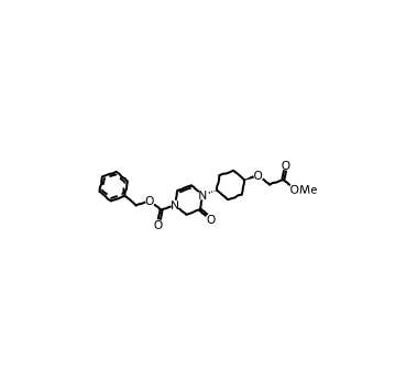 COC(=O)CO[C@H]1CC[C@H](N2C=CN(C(=O)OCc3ccccc3)CC2=O)CC1